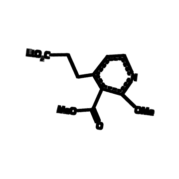 CCOC(=O)CCc1ccnc(OC)c1C(=O)OC